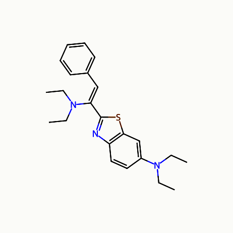 CCN(CC)C(=Cc1ccccc1)c1nc2ccc(N(CC)CC)cc2s1